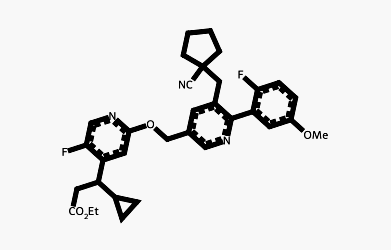 CCOC(=O)CC(c1cc(OCc2cnc(-c3cc(OC)ccc3F)c(CC3(C#N)CCCC3)c2)ncc1F)C1CC1